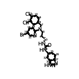 O=C(NSCCN(Cc1ccc(Cl)c(Cl)c1)c1ccc(Br)cn1)Nc1ccc2nn[nH]c2c1